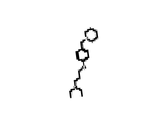 CCN(CC)CCCOc1ccc(CN2CCCCC2)cc1